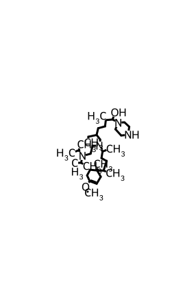 CCC(CCC(C)C(O)N1CCNCC1)CN(CCN(C(C)C)C(C)C)C(C)CCC(C)C1(C)CC=C(OC)CC1